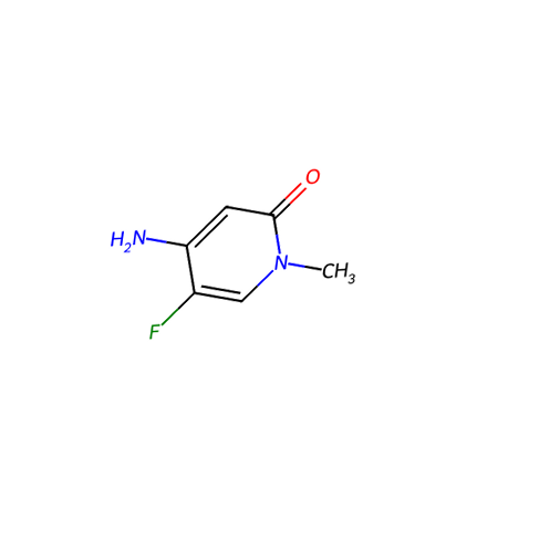 Cn1cc(F)c(N)cc1=O